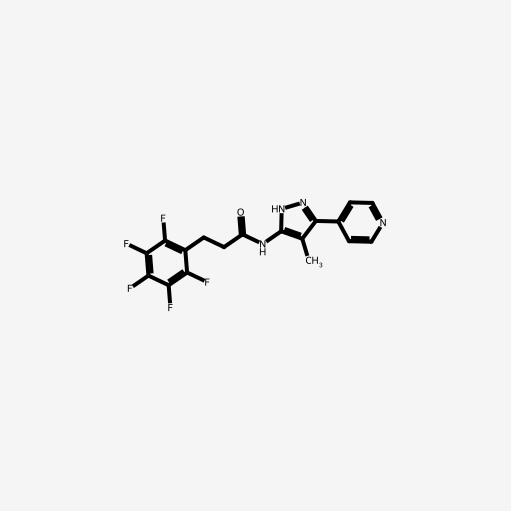 Cc1c(-c2ccncc2)n[nH]c1NC(=O)CCc1c(F)c(F)c(F)c(F)c1F